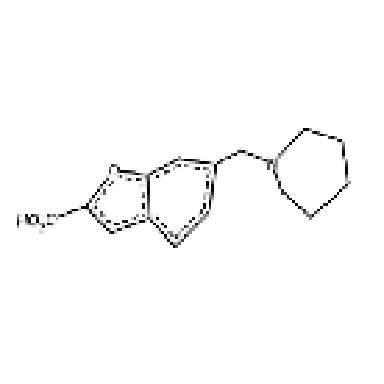 O=C(O)c1cc2ccc(CN3CCCCC3)cc2o1